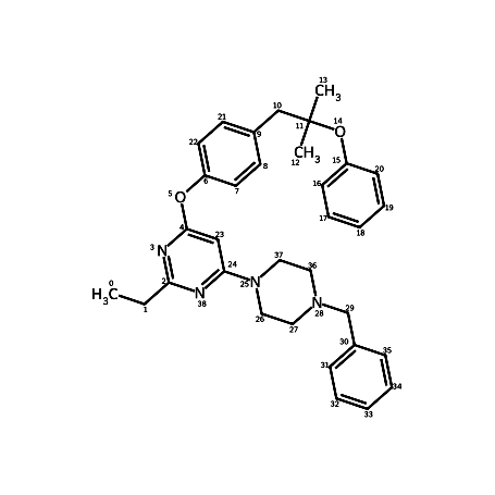 CCc1nc(Oc2ccc(CC(C)(C)Oc3ccccc3)cc2)cc(N2CCN(Cc3ccccc3)CC2)n1